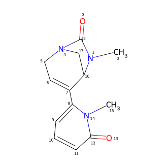 CN1C(=O)N2CC=C(c3cccc(=O)n3C)C1C2